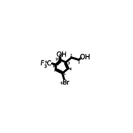 OCCc1cc(Br)cc(C(F)(F)F)c1O